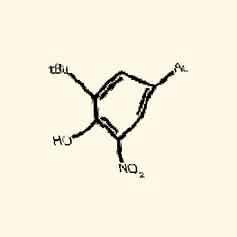 CC(=O)c1cc([N+](=O)[O-])c(O)c(C(C)(C)C)c1